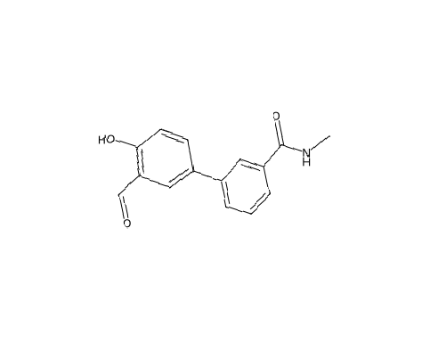 CNC(=O)c1cccc(-c2ccc(O)c(C=O)c2)c1